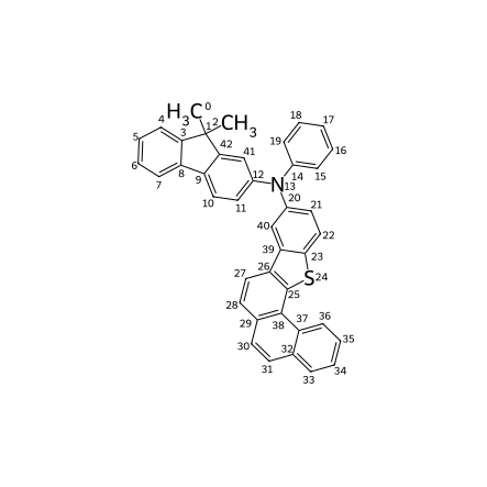 CC1(C)c2ccccc2-c2ccc(N(c3ccccc3)c3ccc4sc5c(ccc6ccc7ccccc7c65)c4c3)cc21